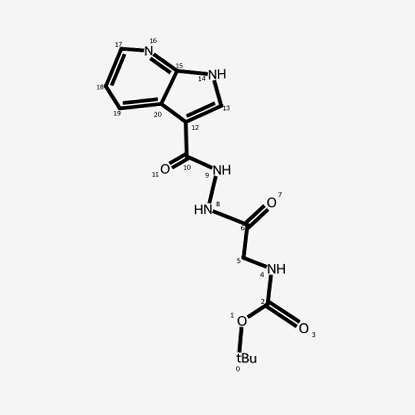 CC(C)(C)OC(=O)NCC(=O)NNC(=O)c1c[nH]c2ncccc12